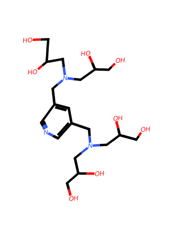 OCC(O)CN(Cc1cncc(CN(CC(O)CO)CC(O)CO)c1)CC(O)CO